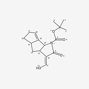 CC(C)(C)OC(=O)N1C(=O)C(=CO)C2CC3CCC=C3C21